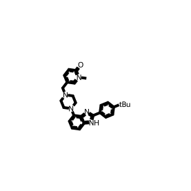 Cn1cc(CN2CCN(c3cccc4[nH]c(-c5ccc(C(C)(C)C)cc5)nc34)CC2)ccc1=O